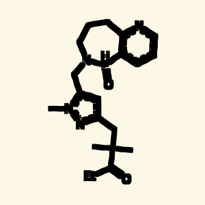 CCC(=O)C(C)(C)Cc1cc(CN2CCCc3ncccc3[PH]2=O)n(C)n1